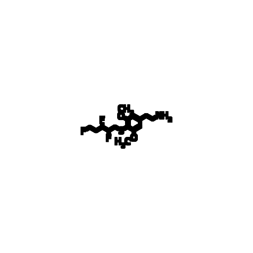 COc1cc(CCN)cc(OC)c1SCC(F)C(F)CCF